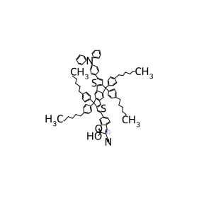 CCCCCCc1ccc(C2(c3ccc(CCCCCC)cc3)c3cc4c(cc3-c3sc(-c5ccc(/C=C(/C#N)C(=O)O)cc5)cc32)C(c2ccc(CCCCCC)cc2)(c2ccc(CCCCCC)cc2)c2cc(-c3ccc(N(c5ccccc5)c5ccccc5)cc3)sc2-4)cc1